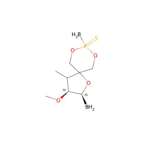 B[C@@H]1OC2(COP(B)(=S)OC2)C(C)[C@@H]1OC